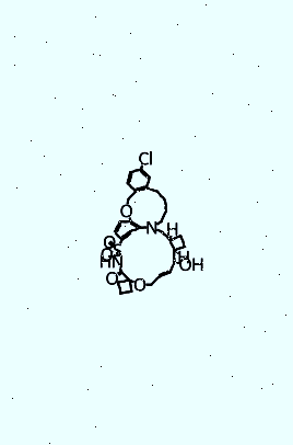 O=C1NS(=O)(=O)c2ccc3c(c2)N(CCCCc2cc(Cl)ccc2CO3)C[C@@H]2CC[C@H]2[C@@H](O)/C=C/COC12CCC2